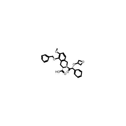 COc1ccc2c(c1OCc1ccccc1)C[C@@H](C(=O)O)N(C(=O)[C@H](OC1COC1)c1ccccc1)C2